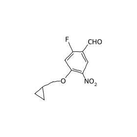 O=Cc1cc([N+](=O)[O-])c(OCC2CC2)cc1F